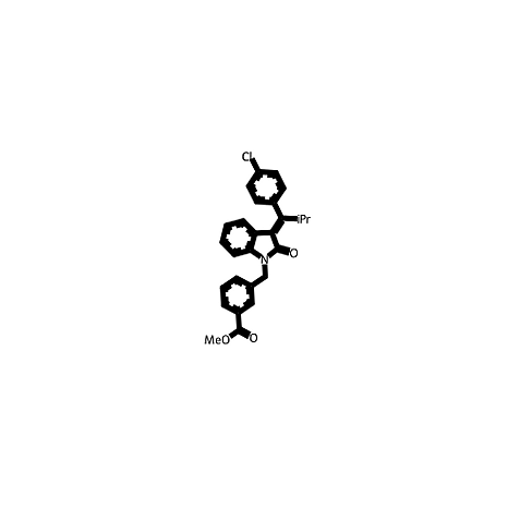 COC(=O)c1cccc(CN2C(=O)/C(=C(/c3ccc(Cl)cc3)C(C)C)c3ccccc32)c1